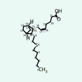 CCCCCCSCC[C@@H]1[C@@H]2CC[C@@H](C2)[C@@H]1C/C=C\CCCC(=O)O